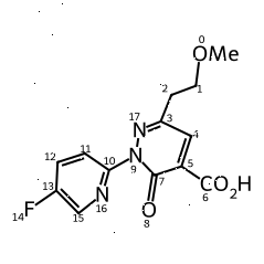 COCCc1cc(C(=O)O)c(=O)n(-c2ccc(F)cn2)n1